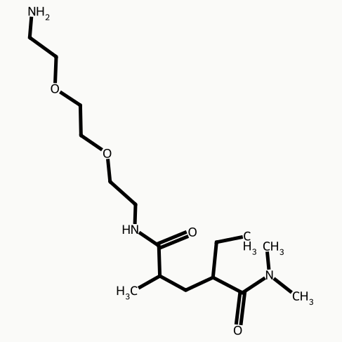 CCC(CC(C)C(=O)NCCOCCOCCN)C(=O)N(C)C